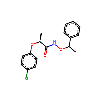 CC(ONC(=O)[C@H](C)Oc1ccc(Cl)cc1)c1ccccc1